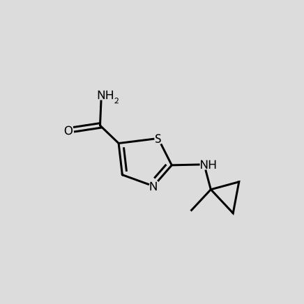 CC1(Nc2ncc(C(N)=O)s2)CC1